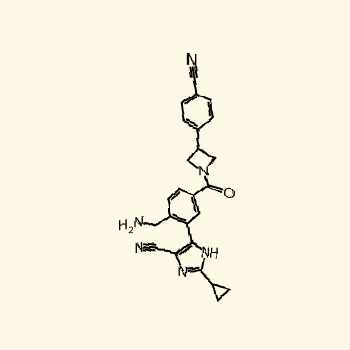 N#Cc1ccc(C2CN(C(=O)c3ccc(CN)c(-c4[nH]c(C5CC5)nc4C#N)c3)C2)cc1